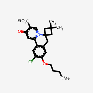 CCOC(=O)c1cn2c(cc1=O)-c1cc(Cl)c(OCCCOC)cc1CC21CC(C)(C)C1